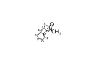 CN1C(=O)CC2Cc3ccccc3C21